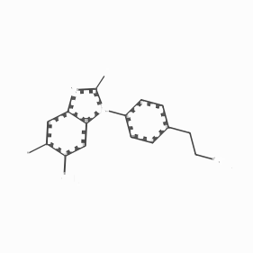 CCc1nc2cc(Cl)c(C)cc2n1-c1ccc(CCN)cc1